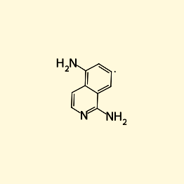 Nc1c[c]cc2c(N)nccc12